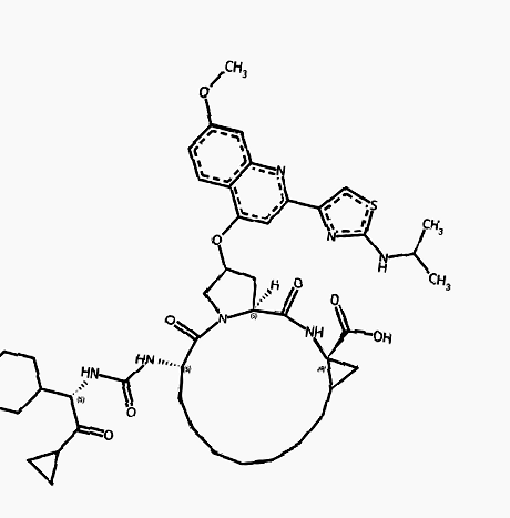 COc1ccc2c(OC3C[C@H]4C(=O)N[C@]5(C(=O)O)CC5CCCCCCC[C@H](NC(=O)N[C@H](C(=O)C5CC5)C5CCCCC5)C(=O)N4C3)cc(-c3csc(NC(C)C)n3)nc2c1